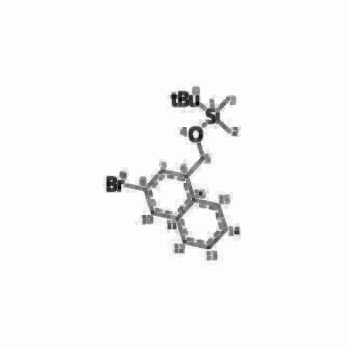 CC(C)(C)[Si](C)(C)OCc1cc(Br)cc2ccccc12